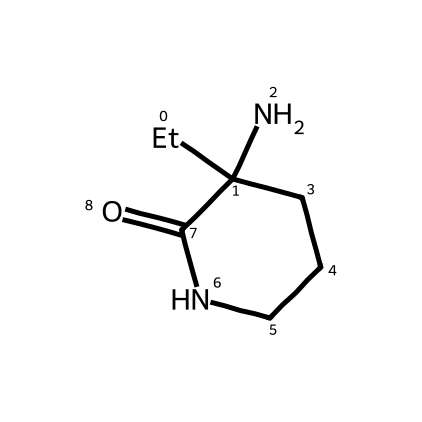 CCC1(N)CCCNC1=O